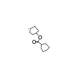 O=C(OC1CC[CH]CC1)C1CCCCC1